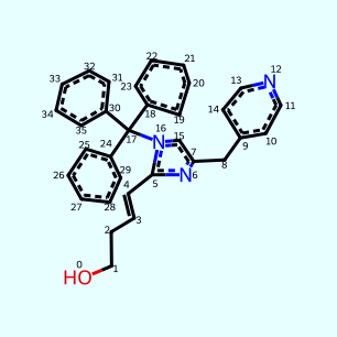 OCCC=Cc1nc(Cc2ccncc2)cn1C(c1ccccc1)(c1ccccc1)c1ccccc1